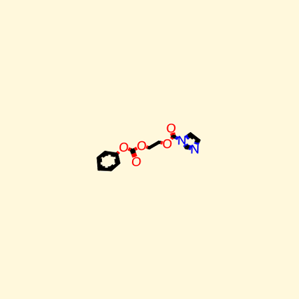 O=C(OCCOC(=O)n1ccnc1)Oc1ccccc1